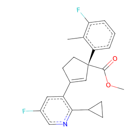 COC(=O)[C@]1(c2cccc(F)c2C)C=C(c2cc(F)cnc2C2CC2)CC1